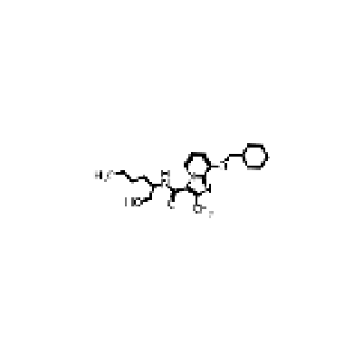 CCCCC(CO)NC(=O)c1c(C)nc2c(OCC3CCCCC3)cccn12